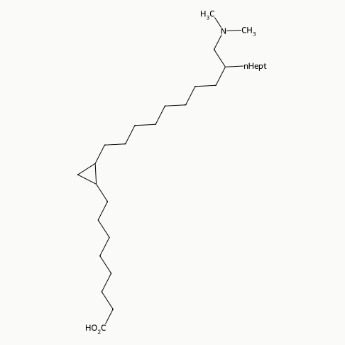 CCCCCCCC(CCCCCCCCC1CC1CCCCCCCC(=O)O)CN(C)C